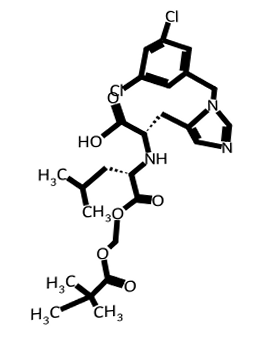 CC(C)C[C@H](N[C@@H](Cc1cncn1Cc1cc(Cl)cc(Cl)c1)C(=O)O)C(=O)OCOC(=O)C(C)(C)C